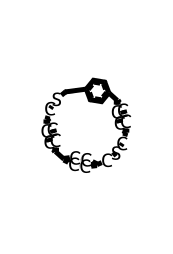 c1cc2ccc1CSCc1ccc(cc1)-c1ccc(cc1)CSCc1ccc-2cc1